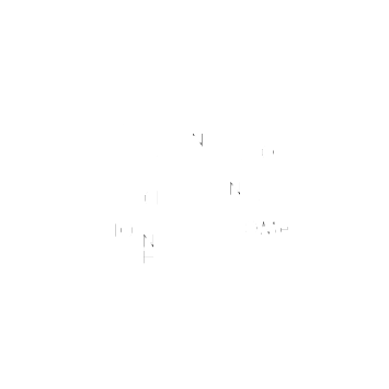 COCN1C(=O)CN=C(c2ccccc2Cl)c2cc(NO)ccc21